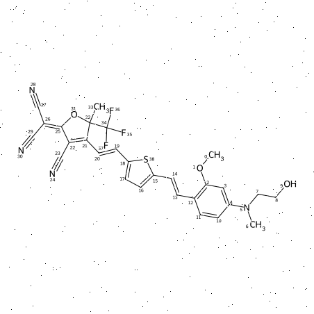 COc1cc(N(C)CCO)ccc1/C=C/c1ccc(/C=C/C2=C(C#N)C(=C(C#N)C#N)OC2(C)C(F)(F)F)s1